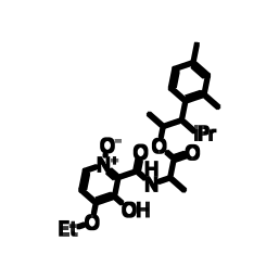 CCOc1cc[n+]([O-])c(C(=O)NC(C)C(=O)OC(C)C(c2ccc(C)cc2C)C(C)C)c1O